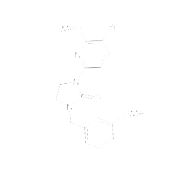 COc1cccc(CN2CCN(c3ccc(Br)c(OC)n3)C2=O)c1